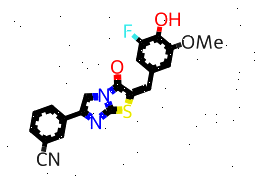 COc1cc(/C=c2/sc3nc(-c4cccc(C#N)c4)cn3c2=O)cc(F)c1O